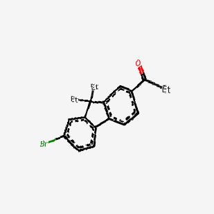 CCC(=O)c1ccc2c(c1)C(CC)(CC)c1cc(Br)ccc1-2